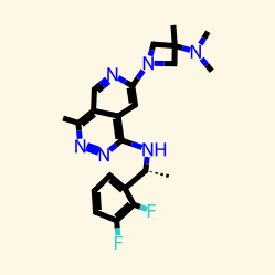 Cc1nnc(N[C@H](C)c2cccc(F)c2F)c2cc(N3CC(C)(N(C)C)C3)ncc12